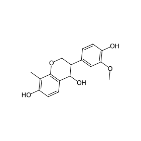 COc1cc(C2COc3c(ccc(O)c3C)C2O)ccc1O